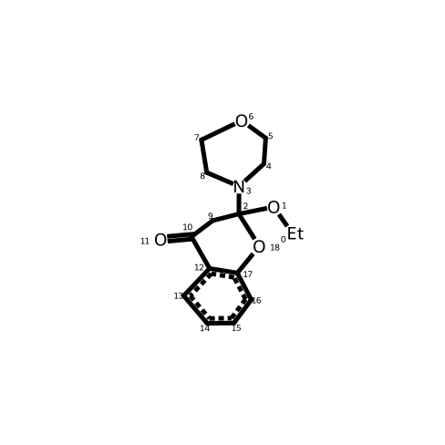 CCOC1(N2CCOCC2)CC(=O)c2ccccc2O1